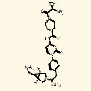 CC(N)C(=O)N1CCN(C(=O)Nc2ccn(-c3ccc(CC(C)N4C[C@@H]5C(CN)[C@@H]5C4)cc3)c(=O)n2)CC1